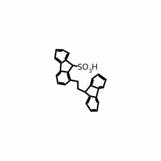 O=S(=O)(O)C1c2ccccc2-c2cccc(CCC3c4ccccc4-c4ccccc43)c21